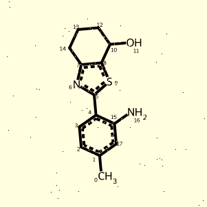 Cc1ccc(-c2nc3c(s2)C(O)CCC3)c(N)c1